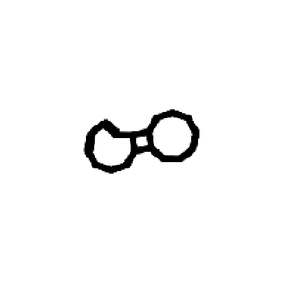 C1=C\CCCC2C(/C=C/1)C1CCCCCCCC21